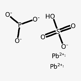 O=S(=O)([O-])O.[O-]P([O-])[O-].[Pb+2].[Pb+2]